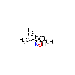 CCC(CC)C1=NO[C@H]2[C@@H]1CC[C@@H]2C